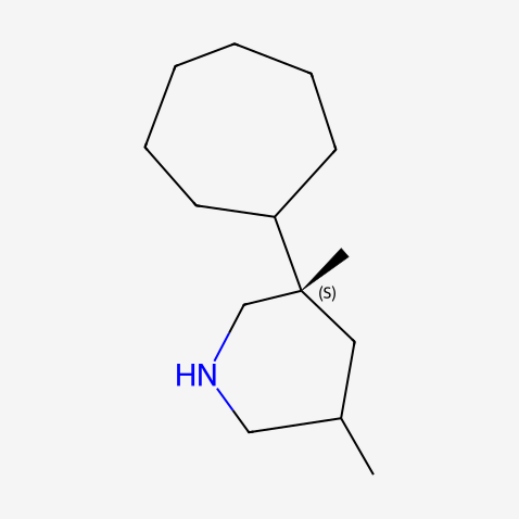 CC1CNC[C@](C)(C2CCCCCC2)C1